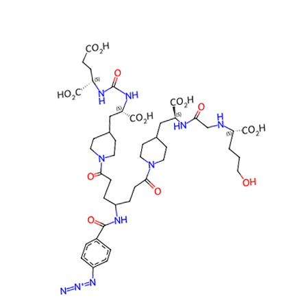 [N-]=[N+]=Nc1ccc(C(=O)NC(CCC(=O)N2CCC(C[C@H](NC(=O)CN[C@@H](CCCO)C(=O)O)C(=O)O)CC2)CCC(=O)N2CCC(C[C@H](NC(=O)N[C@@H](CCC(=O)O)C(=O)O)C(=O)O)CC2)cc1